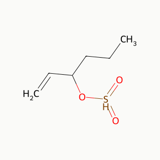 C=CC(CCC)O[SH](=O)=O